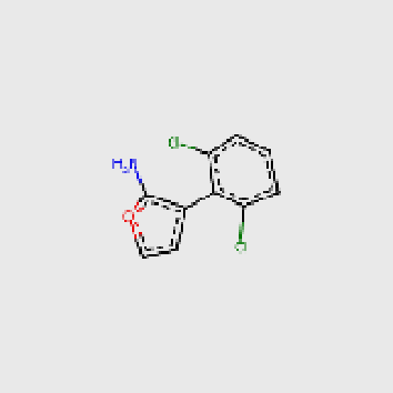 Nc1occc1-c1c(Cl)cccc1Cl